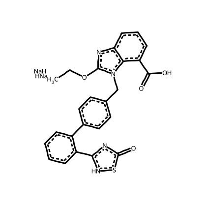 CCOc1nc2cccc(C(=O)O)c2n1Cc1ccc(-c2ccccc2-c2nc(=O)s[nH]2)cc1.[NaH].[NaH]